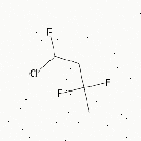 CC(F)(F)CC(F)Cl